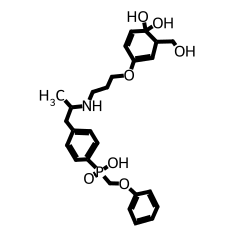 CC(Cc1ccc(P(=O)(O)COc2ccccc2)cc1)NCCCOC1=CC(CO)C(O)(O)C=C1